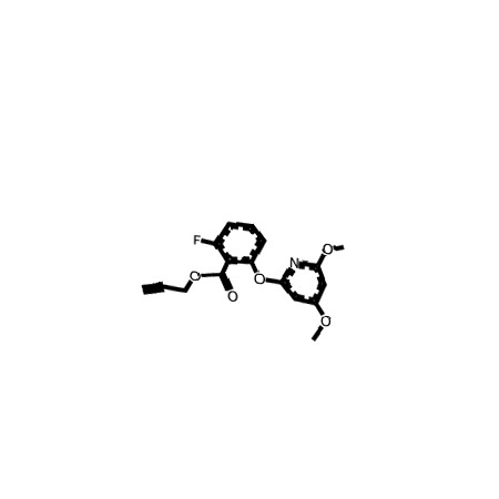 C#CCOC(=O)c1c(F)cccc1Oc1cc(OC)cc(OC)n1